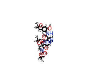 COc1cc2c(cc1NC(=O)c1cnn3ccc(C4(C(=O)OC(C)(C)C)CCN(C(=O)OC(C)(C)C)C4=O)nc13)CC(C)(C)O2